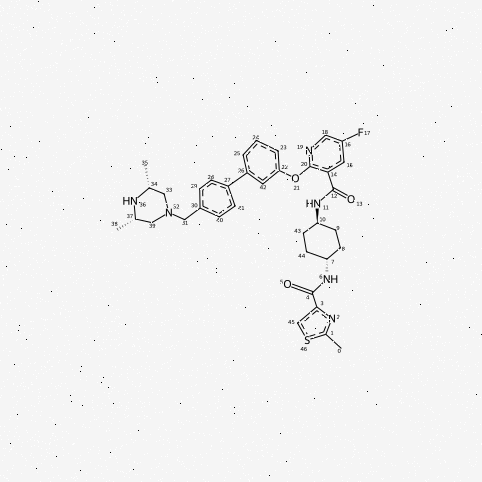 Cc1nc(C(=O)N[C@H]2CC[C@H](NC(=O)c3cc(F)cnc3Oc3cccc(-c4ccc(CN5C[C@@H](C)N[C@@H](C)C5)cc4)c3)CC2)cs1